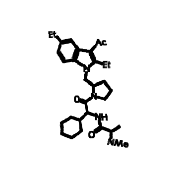 CCc1ccc2c(c1)c(C(C)=O)c(CC)n2CC1CCCN1C(=O)C(NC(=O)C(C)NC)C1CCCCC1